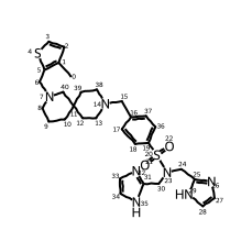 Cc1ccsc1CN1CCCC2(CCN(Cc3ccc(S(=O)(=O)N(Cc4ncc[nH]4)Cc4ncc[nH]4)cc3)CC2)C1